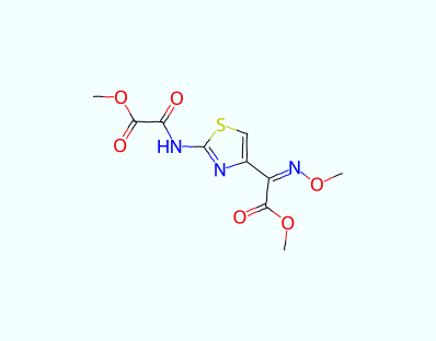 CON=C(C(=O)OC)c1csc(NC(=O)C(=O)OC)n1